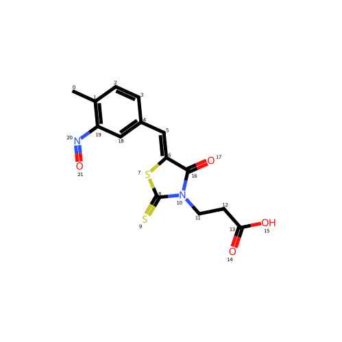 Cc1ccc(/C=C2\SC(=S)N(CCC(=O)O)C2=O)cc1N=O